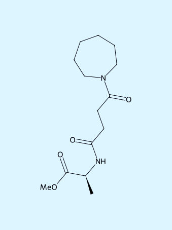 COC(=O)[C@H](C)NC(=O)CCC(=O)N1CCCCCC1